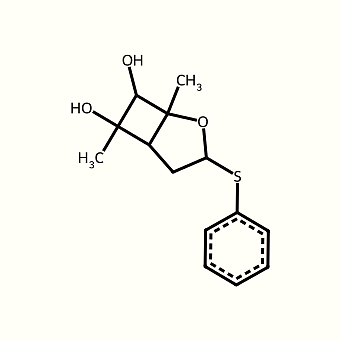 CC1(O)C(O)C2(C)OC(Sc3ccccc3)CC12